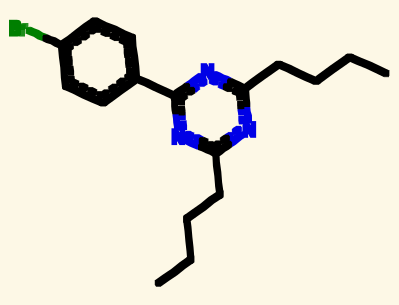 CCCCc1nc(CCCC)nc(-c2ccc(Br)cc2)n1